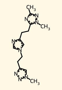 Cc1nc(CCc2cn(CCc3cn(C)nn3)cn2)n(C)n1